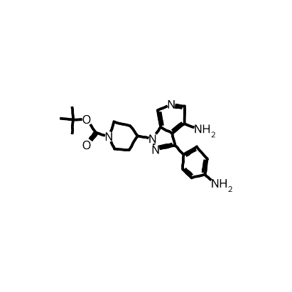 CC(C)(C)OC(=O)N1CCC(n2nc(-c3ccc(N)cc3)c3c(N)cncc32)CC1